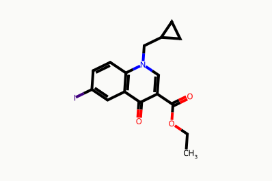 CCOC(=O)c1cn(CC2CC2)c2ccc(I)cc2c1=O